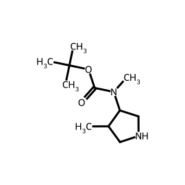 CC1CNCC1N(C)C(=O)OC(C)(C)C